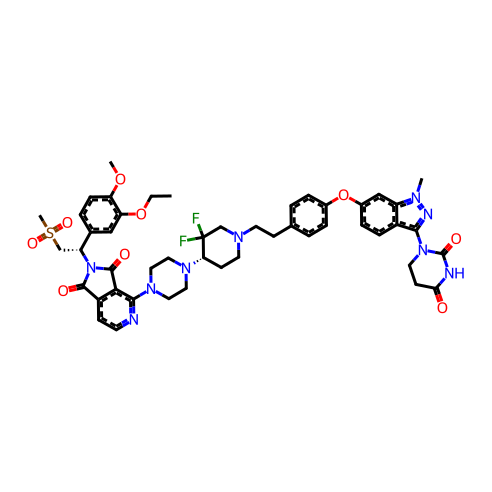 CCOc1cc([C@@H](CS(C)(=O)=O)N2C(=O)c3ccnc(N4CCN([C@H]5CCN(CCc6ccc(Oc7ccc8c(N9CCC(=O)NC9=O)nn(C)c8c7)cc6)CC5(F)F)CC4)c3C2=O)ccc1OC